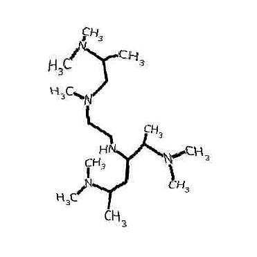 CC(CC(NCCN(C)CC(C)N(C)C)C(C)N(C)C)N(C)C